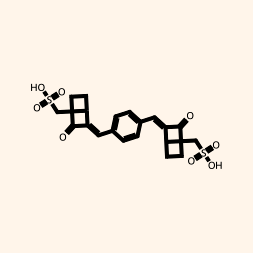 O=C1/C(=C/c2ccc(/C=C3/C(=O)C4(CS(=O)(=O)O)CCC34)cc2)C2CCC12CS(=O)(=O)O